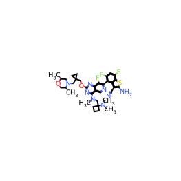 C[C@@H]1CN(CC2(COc3nc(N(C)CC4(N(C)C)CCC4)c4cnc(-c5c(F)cc(F)c6sc(N)c(C#N)c56)c(F)c4n3)CC2)[C@@H](C)CO1